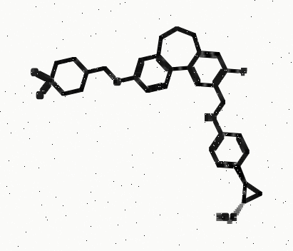 O=C(O)[C@H]1C[C@@H]1c1ccc(NCc2cc3c(cc2F)CCCc2cc(OCC4CCS(=O)(=O)CC4)ccc2-3)cc1